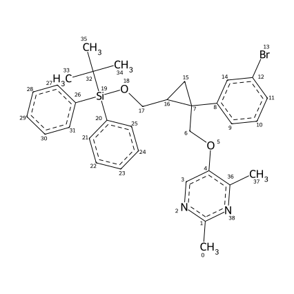 Cc1ncc(OCC2(c3cccc(Br)c3)CC2CO[Si](c2ccccc2)(c2ccccc2)C(C)(C)C)c(C)n1